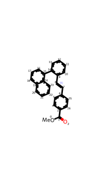 COC(=O)c1ccc(/C=C/c2ccccc2-c2cccc3ccccc23)cc1